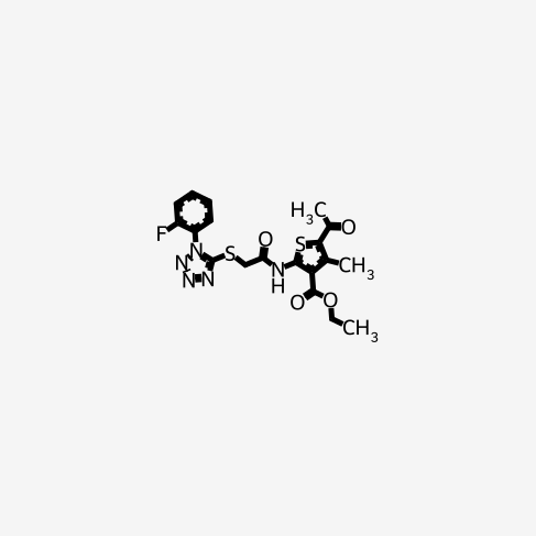 CCOC(=O)c1c(NC(=O)CSc2nnnn2-c2ccccc2F)sc(C(C)=O)c1C